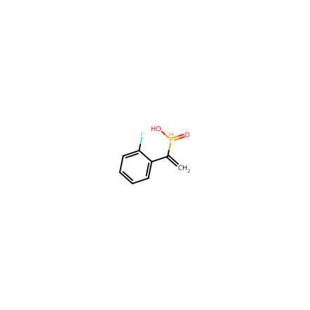 C=C(c1ccccc1F)[PH](=O)O